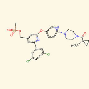 CS(=O)(=O)OCc1cc(Oc2ccc(N3CCN(C(=O)C4(C(=O)O)CC4)CC3)nc2)nc(-c2cc(Cl)cc(Cl)c2)c1